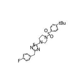 CC(C)(C)c1ccc(S(=O)(=O)N2CCN(c3nc(Cc4ccc(F)cc4)ns3)CC2)cc1